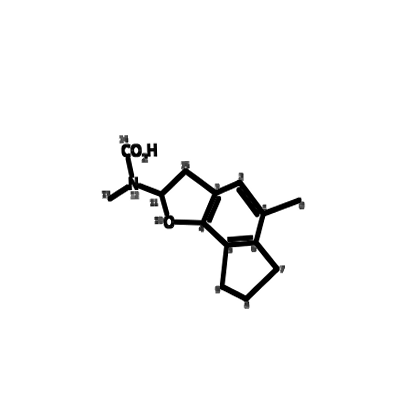 Cc1cc2c(c3c1CCC3)OC(N(C)C(=O)O)C2